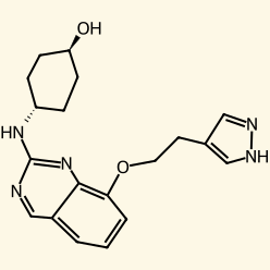 O[C@H]1CC[C@H](Nc2ncc3cccc(OCCc4cn[nH]c4)c3n2)CC1